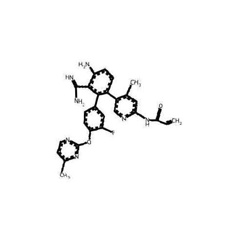 C=CC(=O)Nc1cc(C)c(-c2ccc(N)c(C(=N)N)c2-c2ccc(Oc3nccc(C)n3)c(F)c2)cn1